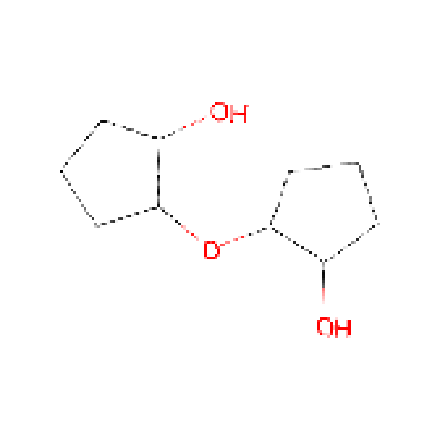 OC1CCCC1OC1CCCC1O